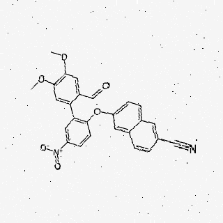 COc1cc(C=O)c(-c2cc([N+](=O)[O-])ccc2Oc2ccc3cc(C#N)ccc3c2)cc1OC